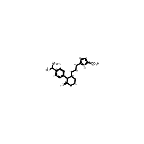 CCCCCC(O)c1ccc(C2C(=O)CCCC2CCCc2ccc(C(=O)O)s2)cc1